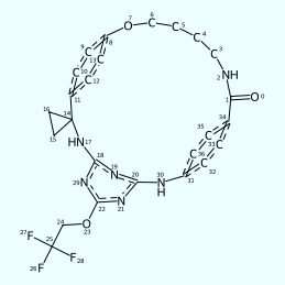 O=C1NCCCCOc2ccc(cc2)C2(CC2)Nc2nc(nc(OCC(F)(F)F)n2)Nc2ccc1cc2